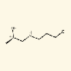 C[C@@H](O)CNCCC[O]